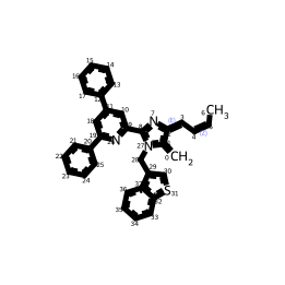 C=c1/c(=C\C=C/C)nc(-c2cc(-c3ccccc3)cc(-c3ccccc3)n2)n1Cc1csc2ccccc12